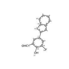 O=Cc1cc(-c2cc3ccccc3s2)cc(F)c1O